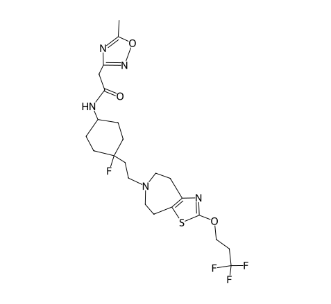 Cc1nc(CC(=O)NC2CCC(F)(CCN3CCc4nc(OCCC(F)(F)F)sc4CC3)CC2)no1